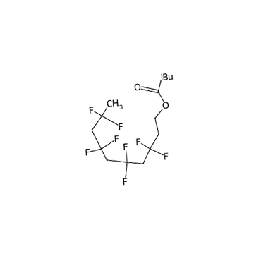 CCC(C)C(=O)OCCC(F)(F)CC(F)(F)CC(F)(F)CC(C)(F)F